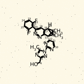 Cc1nc(CO)nn1-c1nccc([C@]23CC[C@@H](c4cc(-c5c(F)cccc5F)nnc42)C3(C)C)n1